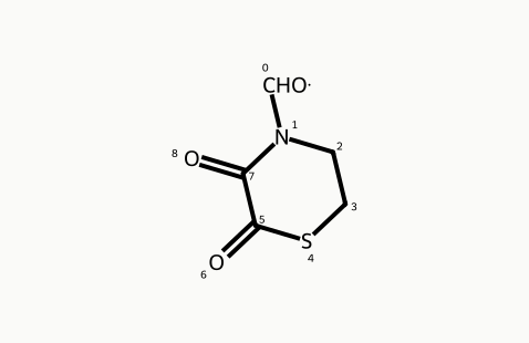 O=[C]N1CCSC(=O)C1=O